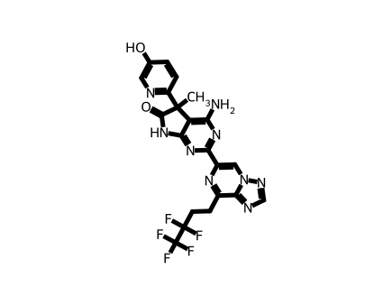 CC1(c2ccc(O)cn2)C(=O)Nc2nc(-c3cn4ncnc4c(CCC(F)(F)C(F)(F)F)n3)nc(N)c21